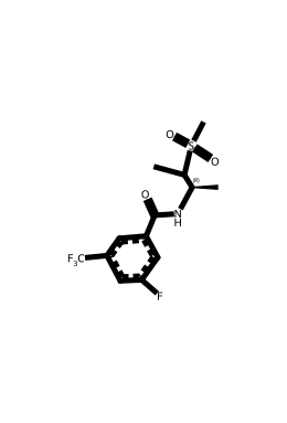 CC([C@@H](C)NC(=O)c1cc(F)cc(C(F)(F)F)c1)S(C)(=O)=O